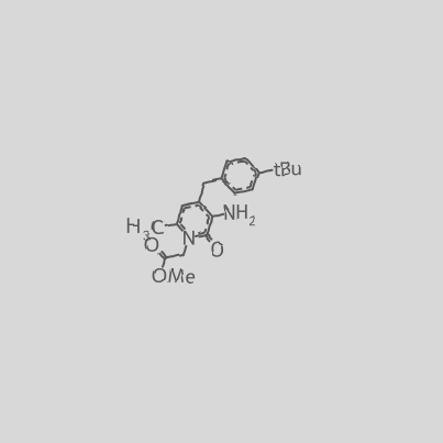 COC(=O)Cn1c(C)cc(Cc2ccc(C(C)(C)C)cc2)c(N)c1=O